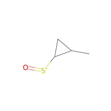 CC1CC1[S+]=O